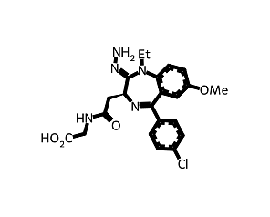 CCN1/C(=N\N)[C@H](CC(=O)NCC(=O)O)N=C(c2ccc(Cl)cc2)c2cc(OC)ccc21